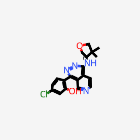 CC1(C)COC[C@H]1Nc1nnc(-c2ccc(Cl)cc2O)c2cnccc12